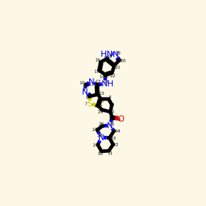 O=C(C1CCc2c(sc3ncnc(Nc4ccc5[nH]ncc5c4)c23)C1)N1CCN2CCCCC2C1